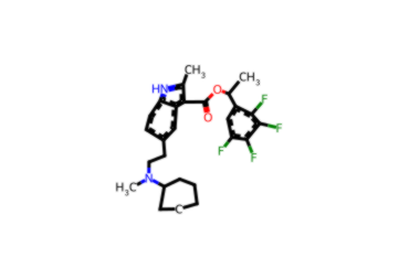 Cc1[nH]c2ccc(CCN(C)C3CCCCC3)cc2c1C(=O)OC(C)c1cc(F)c(F)c(F)c1F